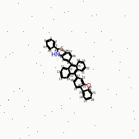 c1ccc(C2Nc3cc(-c4c5ccccc5c(-c5ccc6c(c5)oc5ccccc56)c5ccccc45)ccc3S2)cc1